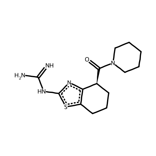 N=C(N)Nc1nc2c(s1)CCC[C@@H]2C(=O)N1CCCCC1